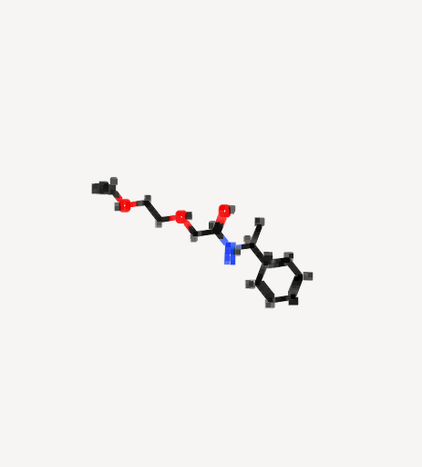 CCCCOCCOCC(=O)NC(C)c1ccccc1